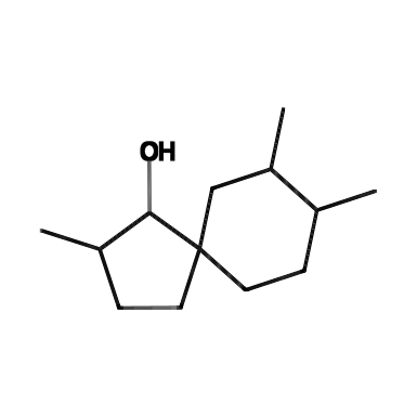 CC1CCC2(CCC(C)C2O)CC1C